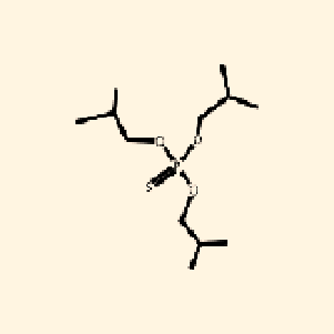 CC(C)COP(=S)(OCC(C)C)OCC(C)C